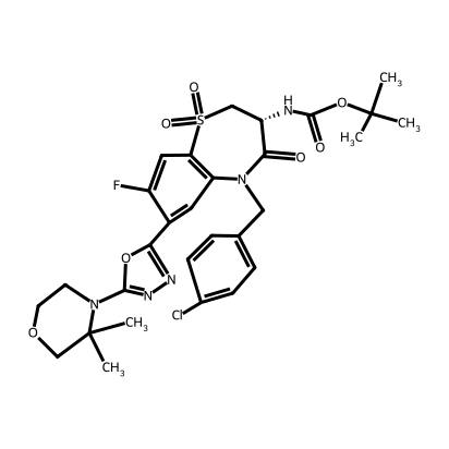 CC(C)(C)OC(=O)N[C@H]1CS(=O)(=O)c2cc(F)c(-c3nnc(N4CCOCC4(C)C)o3)cc2N(Cc2ccc(Cl)cc2)C1=O